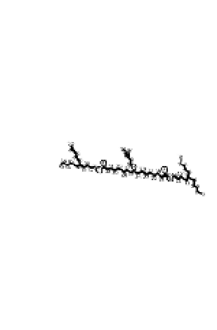 CCCCCC(CCCCC)CCCCOC(=O)CCCCCCCC(CCCCCCCC(=O)OCCCCC(CCCCC)CCCCC)OCCCN(C)C